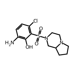 Nc1ccc(Cl)c(S(=O)(=O)N2CCN3CCCC3C2)c1O